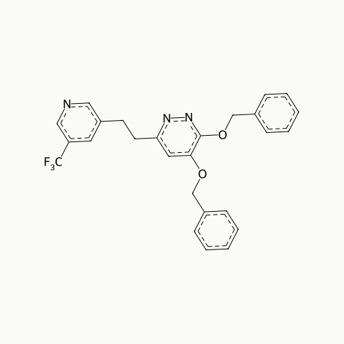 FC(F)(F)c1cncc(CCc2cc(OCc3ccccc3)c(OCc3ccccc3)nn2)c1